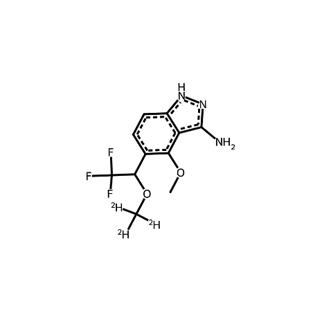 [2H]C([2H])([2H])OC(c1ccc2[nH]nc(N)c2c1OC)C(F)(F)F